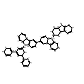 C1=CC2c3cc(C4=CC5C6=C(CCC=C6)N(C6CC=C7SC8=C(C=CCC8)C7C6)C5C=C4)ccc3N(C3=CC(C4=CCCC=C4)=CC(c4ccccn4)C3)C2C=C1